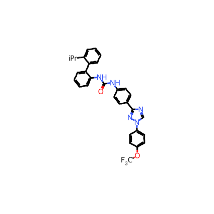 CC(C)c1ccccc1-c1ccccc1NC(=O)Nc1ccc(-c2ncn(-c3ccc(OC(F)(F)F)cc3)n2)cc1